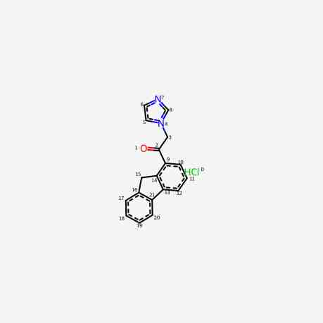 Cl.O=C(Cn1ccnc1)c1cccc2c1Cc1ccccc1-2